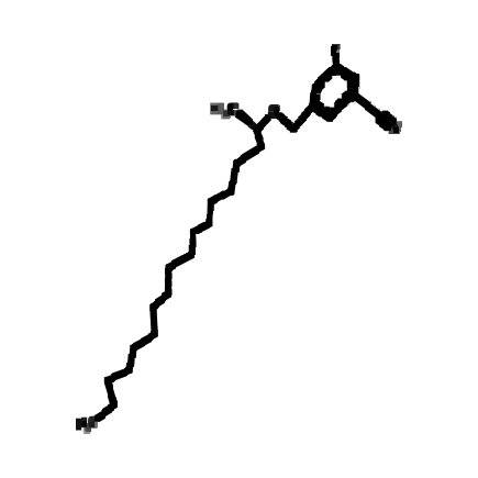 CCCCCCCCCCCCCCC[CH][C@@H](C)OCc1cc(F)cc(C#N)c1